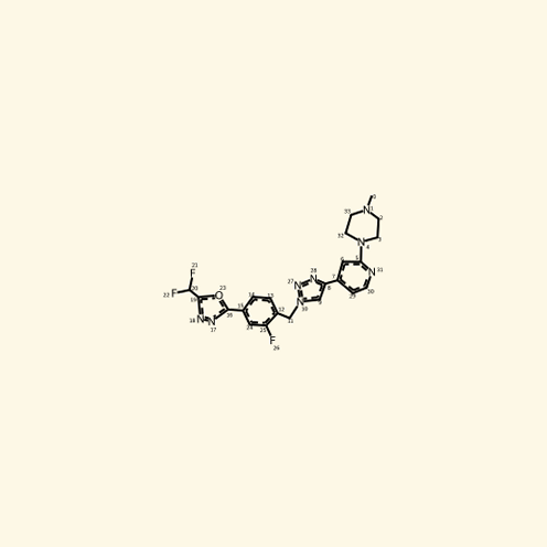 CN1CCN(c2cc(-c3cn(Cc4ccc(-c5nnc(C(F)F)o5)cc4F)nn3)ccn2)CC1